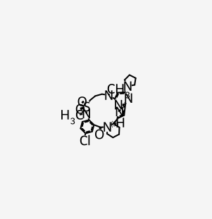 CN1CCCS(=O)(=O)N(C)c2ccc(Cl)cc2C(=O)N2CCCC[C@H]2c2cc3nc(N4CCCC4)cc1n3n2